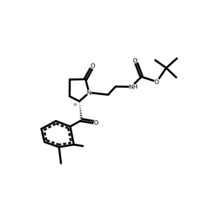 Cc1cccc(C(=O)[C@@H]2CCC(=O)N2CCNC(=O)OC(C)(C)C)c1C